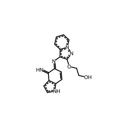 N=C1/C(=N/c2c(OCCO)nn3ccccc23)C=Cc2[nH]ccc21